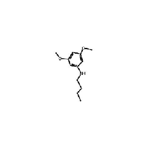 CCCCNc1cc(OC)cc(OC)c1